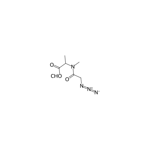 CC(C(=O)C=O)N(C)C(=O)CN=[N+]=[N-]